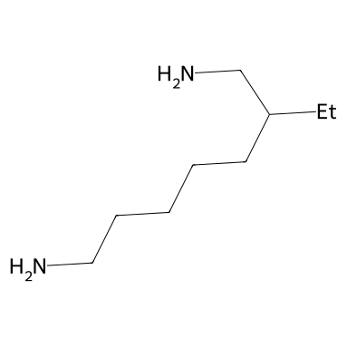 CCC(CN)CCCCCN